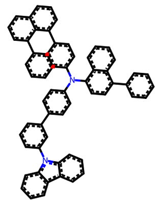 c1ccc(-c2ccc(N(c3ccc(-c4cccc(-n5c6ccccc6c6ccccc65)c4)cc3)c3ccc(-c4cccc5cccc(-c6ccccc6)c45)cc3)c3ccccc23)cc1